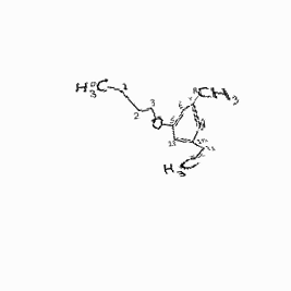 CCCCOc1cc(C)cc(CC)c1